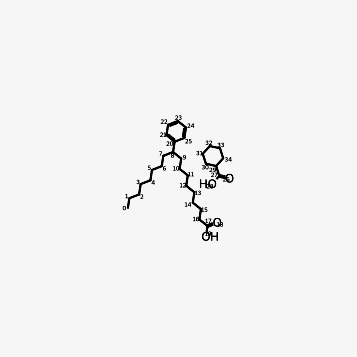 CCCCCCCCC(CCCCCCCCC(=O)O)c1ccccc1.O=C(O)C1CCCCC1